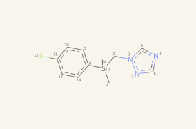 C[SiH](Cn1cncn1)c1ccc(F)cc1